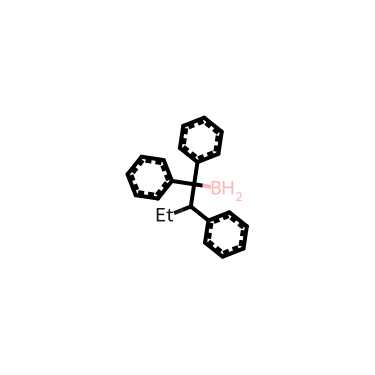 BC(c1ccccc1)(c1ccccc1)C(CC)c1ccccc1